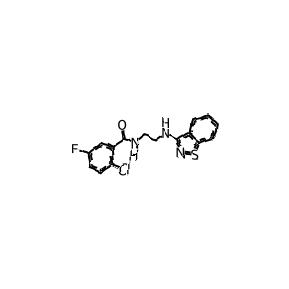 O=C(NCCNc1nsc2ccccc12)c1cc(F)ccc1Cl